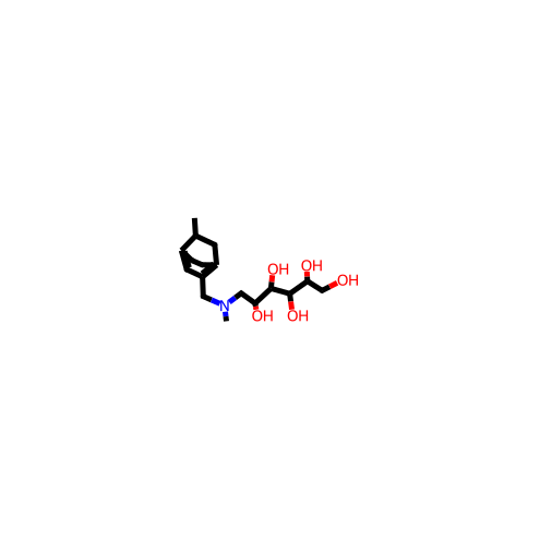 CC1CC2=C(CN(C)CC(O)C(O)C(O)C(O)CO)C=C1CC2